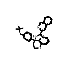 O=C(N[C@]1(c2ccc(OC(F)(F)F)cc2)CCOc2cccnc21)c1cc2ccccc2cn1